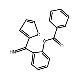 N=C(c1ccco1)c1ccccc1OC(=O)c1ccccc1